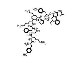 CC[C@H](C)[C@H](NC(=O)[C@H](Cc1ccc(O)cc1)NC(=O)[C@@H]1CCCN1C(=O)[C@H](CCCCN)NC(=O)[C@H](CCCCN)NC(=O)[C@H](Cc1ccccc1)NC(=O)[C@H](C)NC(=O)[C@@H](CCCCN)NC(=O)[C@@H](N)Cc1ccc(O)cc1)C(=O)N(c1ccccc1)[C@@H](CC(C)C)C(=O)O